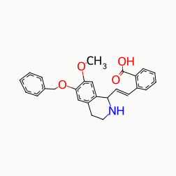 COc1cc2c(cc1OCc1ccccc1)CCNC2/C=C/c1ccccc1C(=O)O